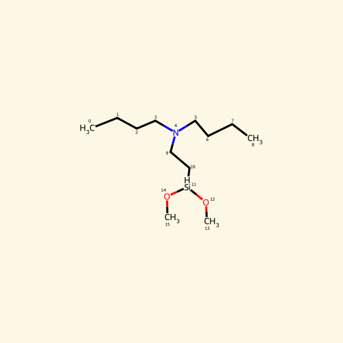 CCCCN(CCCC)CC[SiH](OC)OC